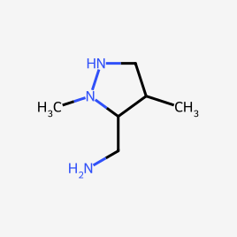 CC1CNN(C)C1CN